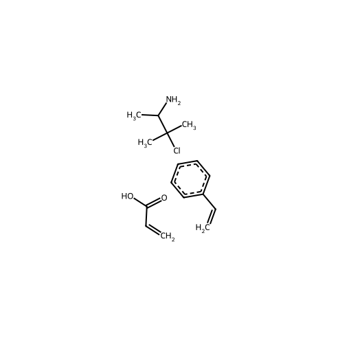 C=CC(=O)O.C=Cc1ccccc1.CC(N)C(C)(C)Cl